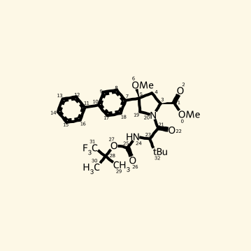 COC(=O)[C@@H]1C[C@@](OC)(c2ccc(-c3ccccc3)cc2)CN1C(=O)C(NC(=O)OC(C)(C)C(F)(F)F)C(C)(C)C